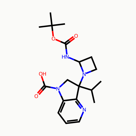 CC(C)C1(N2CCC2NC(=O)OC(C)(C)C)CN(C(=O)O)c2cccnc21